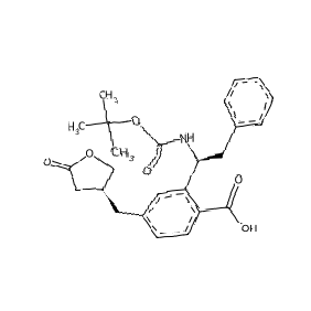 CC(C)(C)OC(=O)N[C@@H](Cc1ccccc1)c1cc(C[C@@H]2COC(=O)C2)ccc1C(=O)O